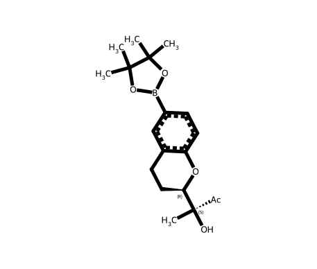 CC(=O)[C@@](C)(O)[C@H]1CCc2cc(B3OC(C)(C)C(C)(C)O3)ccc2O1